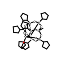 C[Si]12O[Si]3(C4CCCC4)O[Si]4(C5CCCC5)O[Si](C5CCCC5)(O1)O[Si]1(C5CCCC5)O[Si](C5CCCC5)(O2)O[Si](C2CCCC2)(O3)O[Si](C2CCCC2)(O4)O1